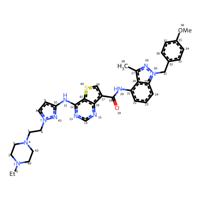 CCN1CCN(CCn2ccc(Nc3ncnc4c(C(=O)Nc5cccc6c5c(C)nn6Cc5ccc(OC)cc5)csc34)n2)CC1